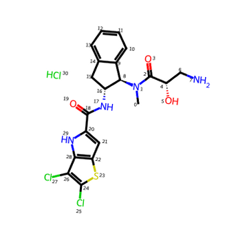 CN(C(=O)[C@@H](O)CN)[C@@H]1c2ccccc2C[C@H]1NC(=O)c1cc2sc(Cl)c(Cl)c2[nH]1.Cl